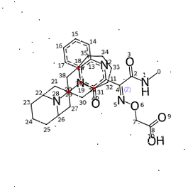 CNC(=O)/C(=N\OCC(=O)O)c1nc2ccccc2n(C2CC3CCCC(C2)N3C2CC3CCCCC(C3)C2)c1=O